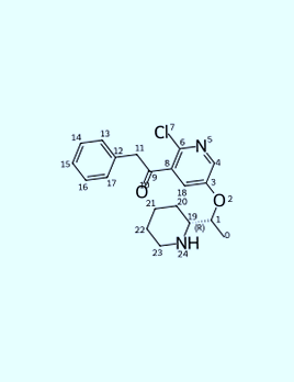 CC(Oc1cnc(Cl)c(C(=O)Cc2ccccc2)c1)[C@H]1CCCCN1